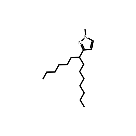 CCCCCCCC(CCCCCC)c1ccn(C)n1